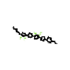 CCCCCCc1ccc(-c2ccc(-c3ccc(C4=CCC(C5CCC(CCC)CC5)CC4)c(F)c3F)cc2)c(F)c1F